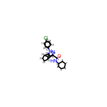 O=C(NC1CCCCC1)c1nn(-c2ccc(Cl)cc2)c2c1C1CCC2C1